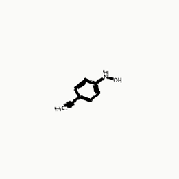 C#Cc1ccc(NO)cc1